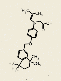 CC(C)=C[C@@H](CC(=O)O)c1ccc(OCc2ccc3c(c2)C(C)(C)CCC3(C)C)cc1